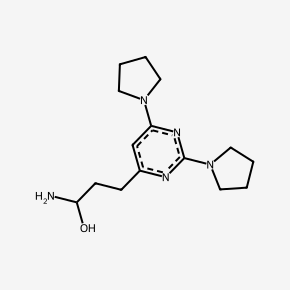 NC(O)CCc1cc(N2CCCC2)nc(N2CCCC2)n1